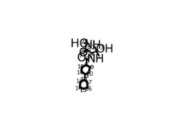 CC(C)(O)[C@H](NC(=O)c1ccc(-c2ccccc2)cc1)C(=O)NO